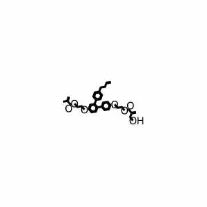 C=CCCc1ccc(-c2cc(OCCOC(=O)C(=C)C)ccc2-c2ccc(OCCOC(=O)C(=C)CO)cc2)cc1